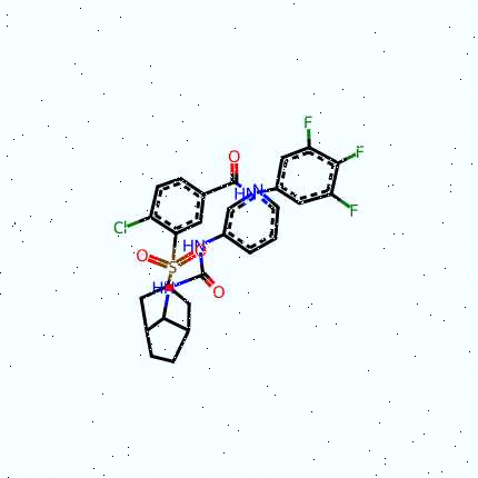 O=C(Nc1cccnc1)NC1C2CCC1CC(S(=O)(=O)c1cc(C(=O)Nc3cc(F)c(F)c(F)c3)ccc1Cl)C2